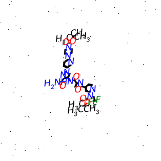 CC(C)(C)OC(=O)N1CCN(c2ccc(-n3cc(NC(=O)c4coc(-c5ccnc(N(CC(F)(F)F)C(=O)OC(C)(C)C)c5)n4)c(C(N)=O)n3)cn2)CC1